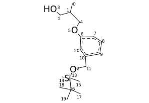 CC(CO)COc1cccc(CO[Si](C)(C)C(C)(C)C)c1